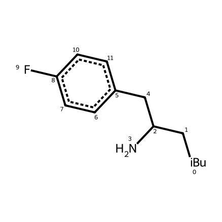 CCC(C)CC(N)Cc1ccc(F)cc1